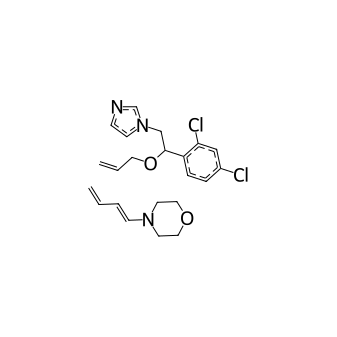 C=CC=CN1CCOCC1.C=CCOC(Cn1ccnc1)c1ccc(Cl)cc1Cl